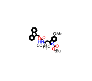 COc1ccc2c(c1)c(C[C@H](NC(=O)OCC1c3ccccc3-c3ccccc31)C(=O)O)c(C)n2C(=O)OC(C)(C)C